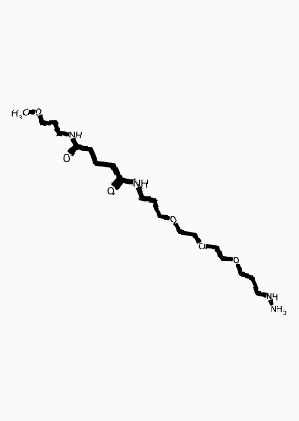 COCCCNC(=O)CCCC(=O)NCCCOCCOCCOCCCNN